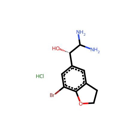 Cl.NC(N)[C@@H](O)c1cc(Br)c2c(c1)CCO2